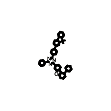 CC1(C)c2ccccc2-c2ccc(-c3ccc(-c4nc(-c5ccccc5)nc(-c5ccc6c(c5)oc5cccc(-c7ccccc7)c56)n4)cc3)cc21